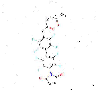 CC(=O)/C=C\C(=O)Cc1c(F)c(F)c(-c2c(F)c(F)c(N3C(=O)C=CC3=O)c(F)c2F)c(F)c1F